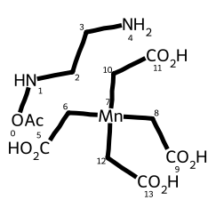 CC(=O)ONCCN.O=C(O)[CH2][Mn]([CH2]C(=O)O)([CH2]C(=O)O)[CH2]C(=O)O